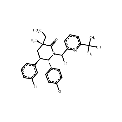 CCC(c1cccc(C(C)(C)O)n1)N1C(=O)[C@@](C)(CC(=O)O)C[C@H](c2cccc(Cl)c2)[C@H]1c1ccc(Cl)cc1